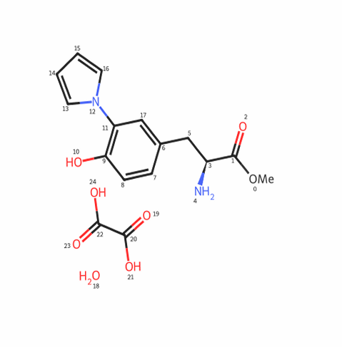 COC(=O)[C@@H](N)Cc1ccc(O)c(-n2cccc2)c1.O.O=C(O)C(=O)O